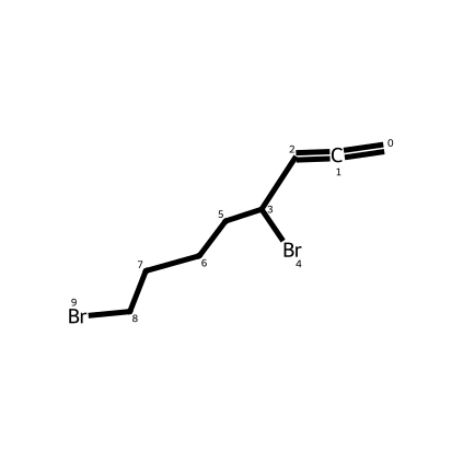 C=C=CC(Br)CCCCBr